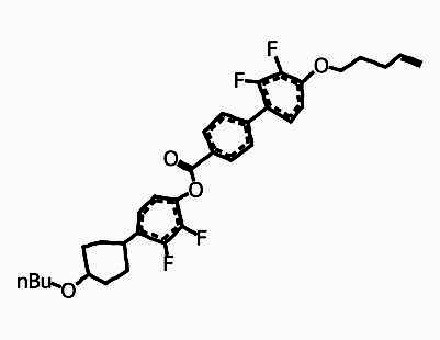 C=CCCCOc1ccc(-c2ccc(C(=O)Oc3ccc(C4CCC(OCCCC)CC4)c(F)c3F)cc2)c(F)c1F